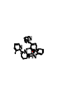 Cc1cccnc1[C@@H]1CCC[C@H](c2nc3ccccc3[nH]2)N1Cc1ccccc1-n1cccn1